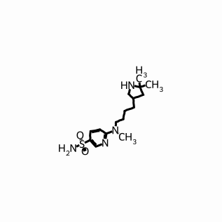 CN(CCCCC1CNC(C)(C)C1)c1ccc(S(N)(=O)=O)cn1